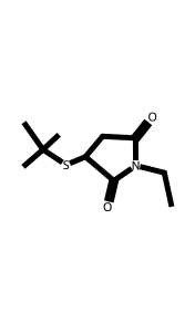 CCN1C(=O)CC(SC(C)(C)C)C1=O